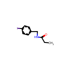 CCC(=O)NCc1ccc(I)cc1